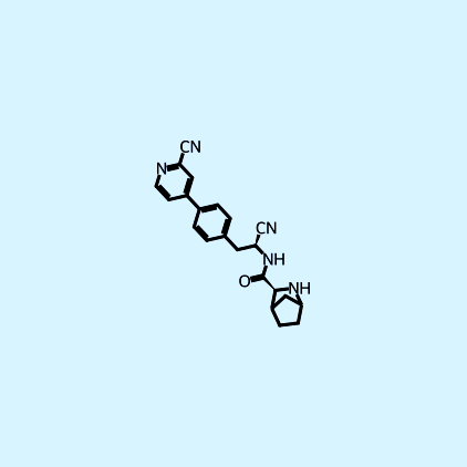 N#Cc1cc(-c2ccc(C[C@@H](C#N)NC(=O)[C@H]3NC4CCC3C4)cc2)ccn1